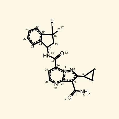 NC(=O)c1c(C2CC2)nn2c(C(=O)NC3CC(F)(F)c4ccccc43)ccnc12